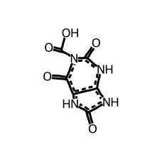 O=C(O)n1c(=O)[nH]c2[nH]c(=O)[nH]c2c1=O